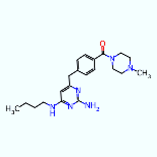 CCCCNc1cc(Cc2ccc(C(=O)N3CCN(C)CC3)cc2)nc(N)n1